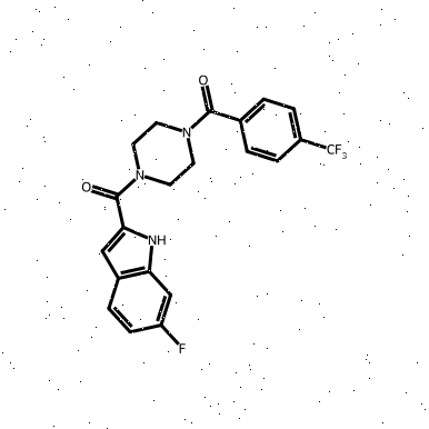 O=C(c1ccc(C(F)(F)F)cc1)N1CCN(C(=O)c2cc3ccc(F)cc3[nH]2)CC1